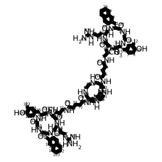 CN1C(=O)[C@@H](Cc2ccc(O)c(I)c2)NC(=O)CNC(=O)[C@H](Cc2ccc3ccccc3c2)NC(=O)[C@H](CCCNC(=N)N)NC(=O)[C@H]1CCCNC(=O)CCCC(=O)NC12CNCCNCC(NC(=O)CCCC(=O)NCCC[C@H]3C(=O)N[C@H](CCCNC(=N)N)C(=O)N[C@H](Cc4ccc5ccccc5c4)C(=O)NCC(=O)N[C@@H](Cc4ccc(O)c(I)c4)C(=O)N3C)(CNCCNC1)CNCCNC2